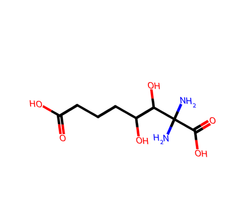 NC(N)(C(=O)O)C(O)C(O)CCCC(=O)O